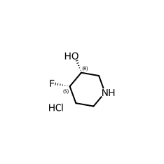 Cl.O[C@@H]1CNCC[C@@H]1F